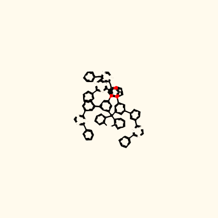 c1ccc(-c2ncnc(-c3cccc(-c4cc(-c5cccc(-c6ncnc(-c7ccccc7)n6)c5)cc(C5(c6cc(-c7cccc(-c8ncnc(-c9ccccc9)n8)c7)cc(-c7cccc(-c8ncnc(-c9ccccc9)n8)c7)c6)c6ccccc6Oc6ccccc65)c4)c3)n2)cc1